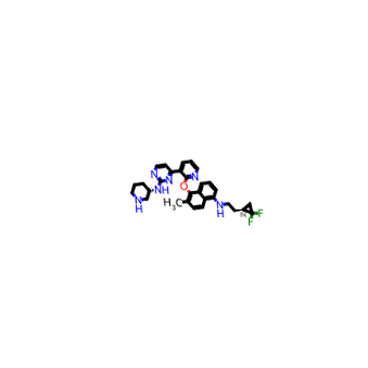 Cc1ccc2c(NCC[C@H]3CC3(F)F)cccc2c1Oc1ncccc1-c1ccnc(N[C@H]2CCCNC2)n1